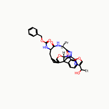 CCC(O)c1coc(-c2nc3oc2C24c5ccccc5N[C@H]2Oc2ccc(cc24)CC(NC(=O)OCc2ccccc2)C(=O)N[C@H]3C(C)C)n1